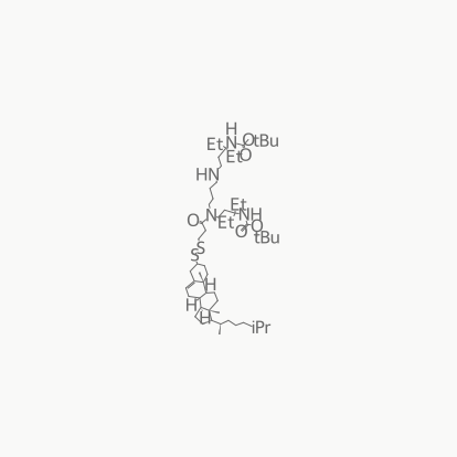 CCC(CC)(CCNCCCCN(CCC(CC)(CC)NC(=O)OC(C)(C)C)C(=O)CCSS[C@H]1CC[C@@]2(C)C(=CC[C@H]3[C@@H]4CC[C@H]([C@H](C)CCCC(C)C)[C@@]4(C)CC[C@@H]32)C1)NC(=O)OC(C)(C)C